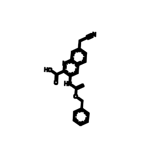 C=C(Nc1cc2ccc(CC#N)cc2nc1C(=O)O)OCc1ccccc1